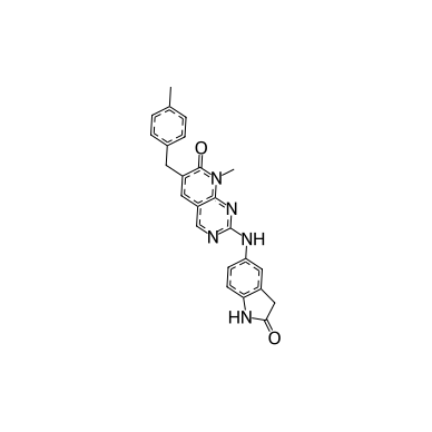 Cc1ccc(Cc2cc3cnc(Nc4ccc5c(c4)CC(=O)N5)nc3n(C)c2=O)cc1